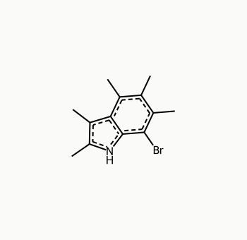 Cc1[nH]c2c(Br)c(C)c(C)c(C)c2c1C